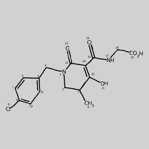 CC1CN(Cc2ccc(Cl)cc2)C(=O)C(C(=O)NCC(=O)O)=C1O